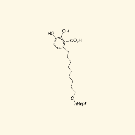 CCCCCCCOCCCCCCCCCc1ccc(O)c(O)c1C(=O)O